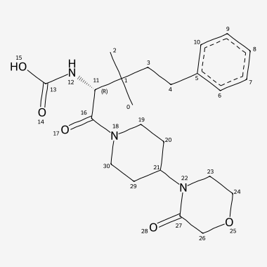 CC(C)(CCc1ccccc1)[C@@H](NC(=O)O)C(=O)N1CCC(N2CCOCC2=O)CC1